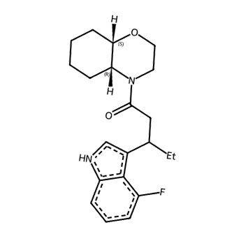 CCC(CC(=O)N1CCO[C@H]2CCCC[C@H]21)c1c[nH]c2cccc(F)c12